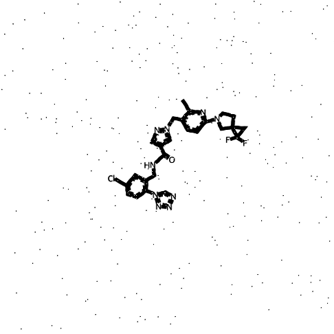 Cc1nc(N2CCC3(C2)CC3(F)F)ccc1Cn1cc(C(=O)NCc2cc(Cl)ccc2-n2cnnn2)cn1